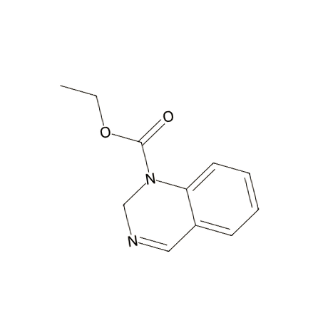 CCOC(=O)N1CN=Cc2ccccc21